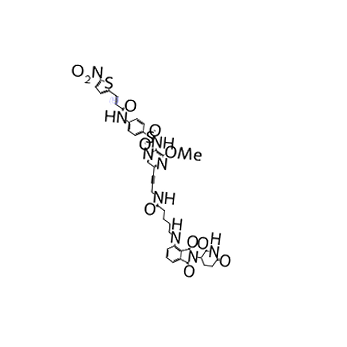 COc1nc(C#CCNC(=O)CCCCNc2cccc3c2C(=O)N(C2CCC(=O)NC2=O)C3=O)cnc1NS(=O)(=O)c1ccc(NC(=O)/C=C/c2ccc([N+](=O)[O-])s2)cc1